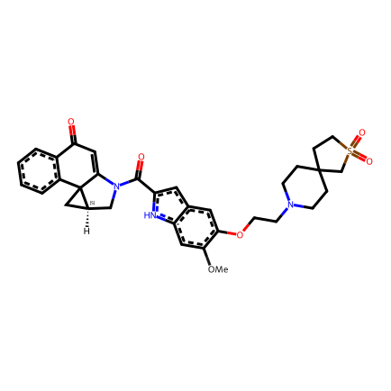 COc1cc2[nH]c(C(=O)N3C[C@H]4CC45C3=CC(=O)c3ccccc35)cc2cc1OCCN1CCC2(CC1)CCS(=O)(=O)C2